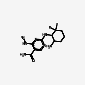 [3H]Nc1nc(NC2C(N)CCCC2(F)F)ncc1C(N)=O